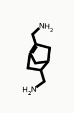 NCC1=C2CC(CN)C(C1)C2